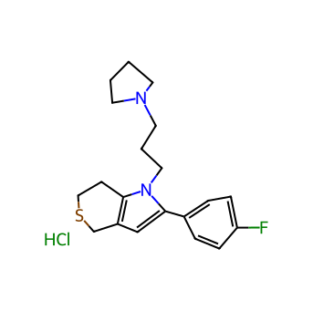 Cl.Fc1ccc(-c2cc3c(n2CCCN2CCCC2)CCSC3)cc1